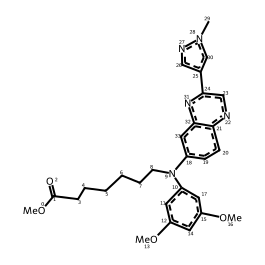 COC(=O)CCCCCCN(c1cc(OC)cc(OC)c1)c1ccc2ncc(-c3cnn(C)c3)nc2c1